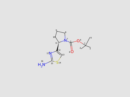 CC(C)(C)OC(=O)N1CCC[C@@H]1c1csc(N)n1